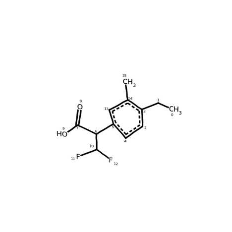 CCc1ccc(C(C(=O)O)C(F)F)cc1C